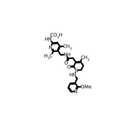 COc1ncccc1CNN1CCC(C)=C(CC(=O)NCc2c(C)cc(NC(=O)O)nc2C)C1=O